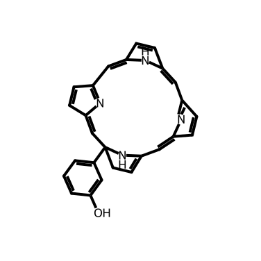 Oc1cccc(C23C=C4C=CC(=N4)C=c4ccc([nH]4)=CC4=NC(=CC(=CC2)N3)C=C4)c1